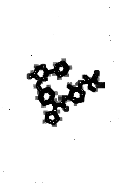 CCC(C)(Oc1cccc(NC(=O)C(c2ccc(CN3N=C(c4ccccc4)OCC3=O)cc2)C2CCCC2)c1C)C(=O)O